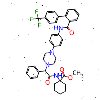 COC(=O)C1(NC(=O)C(c2ccccc2)N2CCN(c3ccc(NC(=O)c4ccccc4-c4ccc(C(F)(F)F)cc4)cc3)CC2)CCCCC1